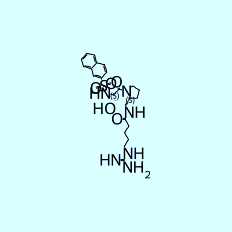 N=C(N)NCCCCC(=O)NC[C@@H]1CCCN1C(=O)[C@H](CO)NS(=O)(=O)c1ccc2ccccc2c1